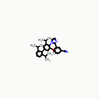 CC(C)c1cccc(C(C)C)c1-c1cc(C(C)C)c(-n2ccnc2-c2cccc(C#N)c2)c(C(C)C)c1